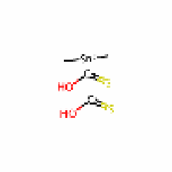 O[C-]=S.O[C-]=S.[CH3][Sn+2][CH3]